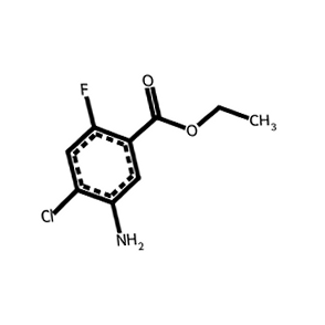 CCOC(=O)c1cc(N)c(Cl)cc1F